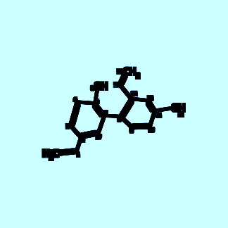 C=Cc1ccc(O)c(-c2ccc(O)cc2C=C)c1